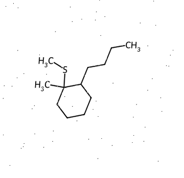 CCCCC1CCCCC1(C)SC